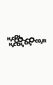 CCOC(=O)c1ccc(C=C(C)c2ccc3c(c2)C(C)(C)CC3(C)C)cc1